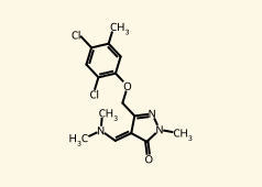 Cc1cc(OCC2=NN(C)C(=O)C2=CN(C)C)c(Cl)cc1Cl